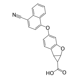 N#Cc1ccc(Oc2ccc3c(c2)OC2C(C(=O)O)C32)c2ccccc12